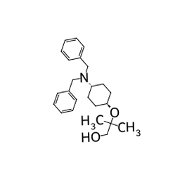 CC(C)(CO)O[C@H]1CC[C@H](N(Cc2ccccc2)Cc2ccccc2)CC1